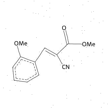 COC(=O)/C(C#N)=C/c1ccccc1OC